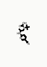 CC(CN(C(=O)O)C(C)(C)C)Nc1ccc(C#N)cn1